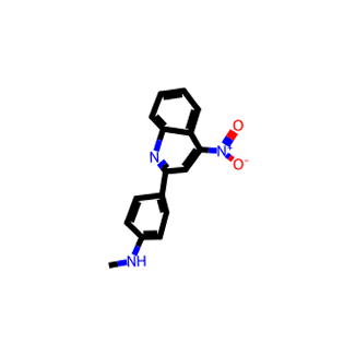 CNc1ccc(-c2cc([N+](=O)[O-])c3ccccc3n2)cc1